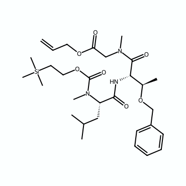 C=CCOC(=O)CN(C)C(=O)[C@@H](NC(=O)[C@H](CC(C)C)N(C)C(=O)OCC[Si](C)(C)C)[C@@H](C)OCc1ccccc1